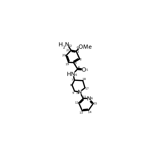 COc1cc(C(=O)NC2CCN(c3ccccn3)CC2)ccc1N